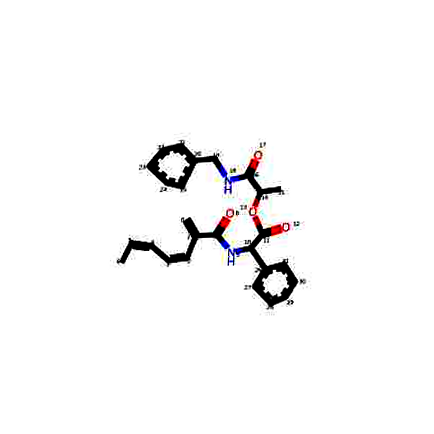 C=C(/C=C\C=C/C)C(=O)NC(C(=O)OC(C)C(=O)NCc1ccccc1)c1ccccc1